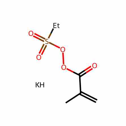 C=C(C)C(=O)OOS(=O)(=O)CC.[KH]